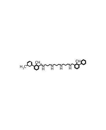 Cc1c(CNCCCNCCCNCCCNCc2cccc(-c3ccccc3)c2C)cccc1C1=CC=CC(C)C1